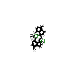 Cc1ccc(C)c2c1C=CC2(Cl)CCC1(Cl)C=Cc2c(C)ccc(C)c21.[Zr]